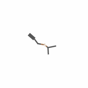 C#CCSC(C)C